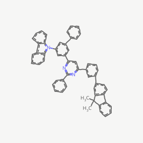 CC1(C)c2ccccc2-c2ccc(-c3cccc(-c4cc(-c5cc(-c6ccccc6)cc(-n6c7ccccc7c7ccccc76)c5)nc(-c5ccccc5)n4)c3)cc21